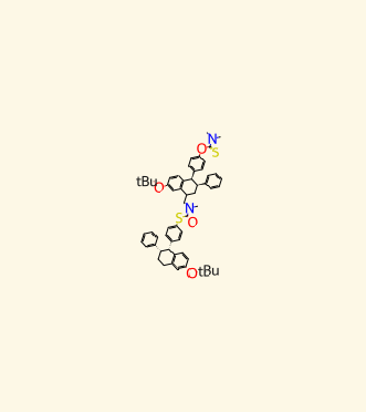 CN(C)C(=S)Oc1ccc([C@@H]2c3ccc(OC(C)(C)C)cc3C(CN(C)C(=O)Sc3ccc([C@@H]4c5ccc(OC(C)(C)C)cc5CC[C@@H]4c4ccccc4)cc3)C[C@@H]2c2ccccc2)cc1